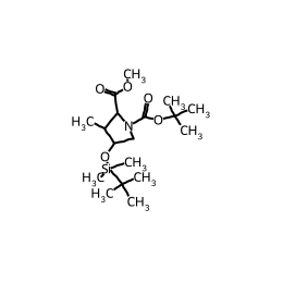 COC(=O)C1C(C)C(O[Si](C)(C)C(C)(C)C)CN1C(=O)OC(C)(C)C